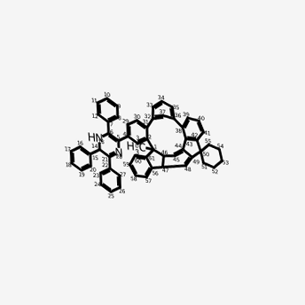 CC12c3cc(C4=C(c5ccccc5)NC(c5ccccc5)C(c5ccccc5)=N4)ccc3-c3cccc(c3)-c3cccc4c3C3=CC1C(C=C3C41CCCCC1)c1ccccc12